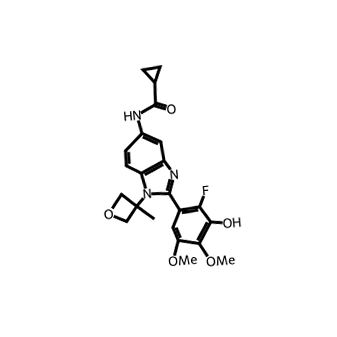 COc1cc(-c2nc3cc(NC(=O)C4CC4)ccc3n2C2(C)COC2)c(F)c(O)c1OC